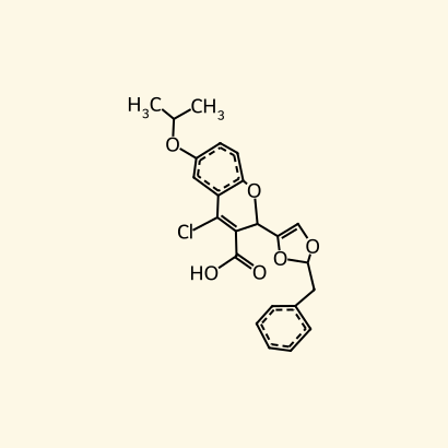 CC(C)Oc1ccc2c(c1)C(Cl)=C(C(=O)O)C(C1=COC(Cc3ccccc3)O1)O2